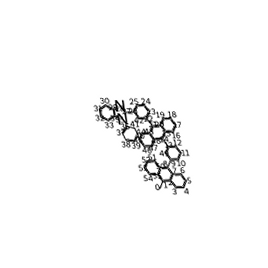 Cc1c2ccccc2c(-c2cccc(-c3c4ccccc4c(-c4cccc(-c5nc6ccccc6n5C5=CC=CCC5)c4)c4ccccc34)c2)c2ccccc12